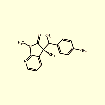 CC(c1ccc(N)cc1)[C@@]1(C)C(=O)N(C)c2ncccc21